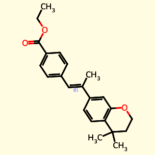 CCOC(=O)c1ccc(/C=C(\C)c2ccc3c(c2)OCCC3(C)C)cc1